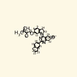 CN(C)C(=O)COc1ccc2c(c1)N(c1nc(-c3ccc4sccc4c3)nc3c1C[S+]([O-])C3)CC2